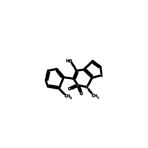 Cc1ccccc1C1=C(O)c2ccsc2N(C)S1(=O)=O